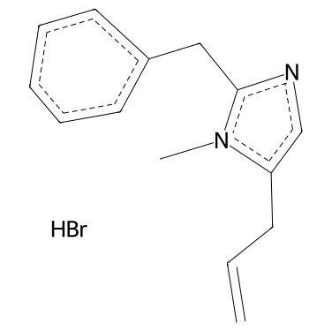 Br.C=CCc1cnc(Cc2ccccc2)n1C